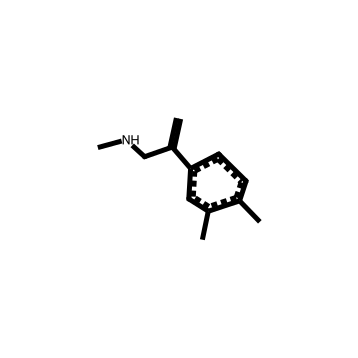 C=C(CNC)c1ccc(C)c(C)c1